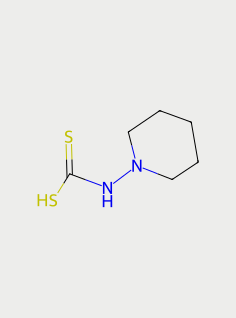 S=C(S)NN1CCCCC1